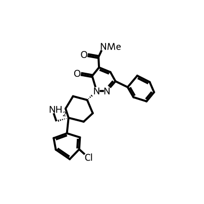 CNC(=O)c1cc(-c2ccccc2)nn([C@H]2CC[C@](CN)(c3cccc(Cl)c3)CC2)c1=O